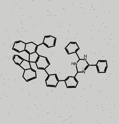 C1=CCC2C(=C1)C1(C3=C4C=CC=CC4CC(c4ccccc4)=C3c3ccc(-c4cccc(-c5cccc(C6N=C(c7ccccc7)NC(c7ccccc7)N6)c5)c4)cc31)c1ccccc12